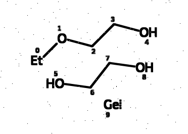 CCOCCO.OCCO.[Ge]